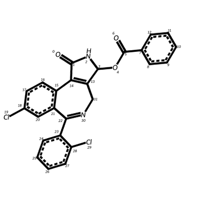 O=C1NC(OC(=O)c2ccccc2)C2=C1c1ccc(Cl)cc1C(c1ccccc1Cl)=NC2